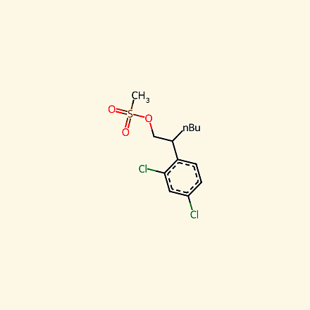 CCCCC(COS(C)(=O)=O)c1ccc(Cl)cc1Cl